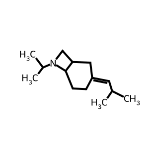 CC(C)/C=C1\CCC2C(C1)CN2C(C)C